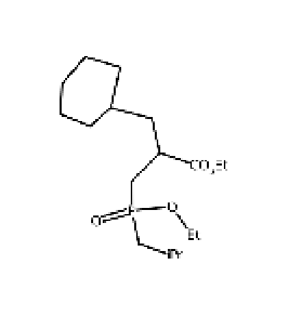 CCOC(=O)C(CC1CCCCC1)CP(=O)(CC(C)C)OCC